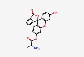 C[C@H](N)C(=O)Oc1ccc2c(c1)Oc1cc(O)ccc1C21OC(=O)c2ccccc21